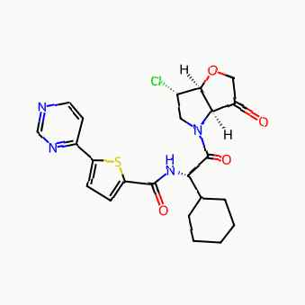 O=C(N[C@H](C(=O)N1C[C@H](Cl)[C@H]2OCC(=O)[C@H]21)C1CCCCC1)c1ccc(-c2ccncn2)s1